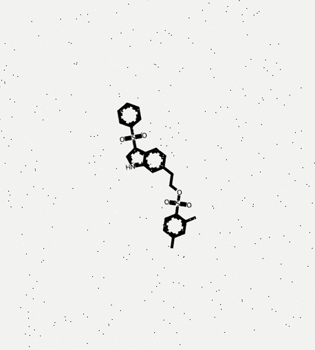 Cc1ccc(S(=O)(=O)OCCc2ccc3c(S(=O)(=O)c4ccccc4)c[nH]c3c2)c(C)c1